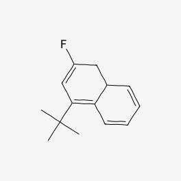 CC(C)(C)C1=C2C=CC=CC2CC(F)=C1